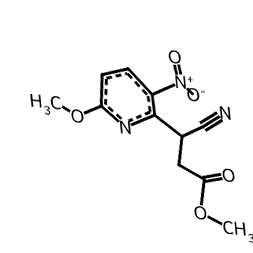 COC(=O)CC(C#N)c1nc(OC)ccc1[N+](=O)[O-]